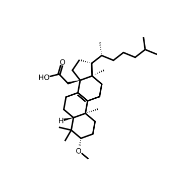 CO[C@H]1CC[C@]2(C)C3=C(CC[C@H]2C1(C)C)[C@]1(CC(=O)O)CC[C@H]([C@H](C)CCCC(C)C)[C@@]1(C)CC3